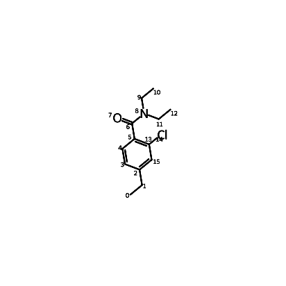 CCc1ccc(C(=O)N(CC)CC)c(Cl)c1